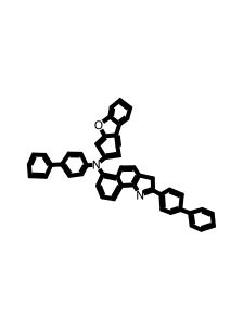 c1ccc(-c2ccc(C3=Nc4c(ccc5c(N(c6ccc(-c7ccccc7)cc6)c6ccc7c(c6)oc6ccccc67)cccc45)C3)cc2)cc1